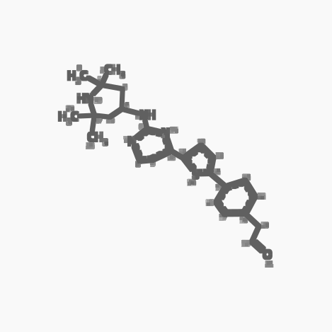 CC1(C)CC(Nc2nccc(-c3ccc(-c4ccc(CC=O)cc4)s3)n2)CC(C)(C)N1